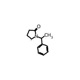 CC(c1ccccc1)N1[CH]CCC1=O